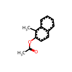 CC(=O)Oc1ccc2ccccc2c1C